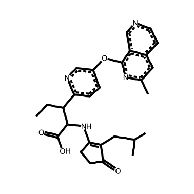 CCC(c1ccc(Oc2nc(C)cc3ccncc23)cn1)C(NC1=C(CC(C)C)C(=O)CC1)C(=O)O